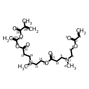 C=CC(=O)OCCN(C)CCC(=O)OCCN(C)CCC(=O)OC(=C)OC(=O)C(=C)C